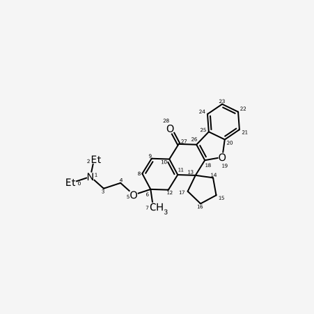 CCN(CC)CCOC1(C)C=CC2=C(C1)C1(CCCC1)c1oc3ccccc3c1C2=O